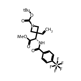 C=CC1([C@H](NC(=O)c2ccc(S(F)(F)(F)(F)F)cc2)C(=O)OC)CN(C(=O)OC(C)(C)C)C1